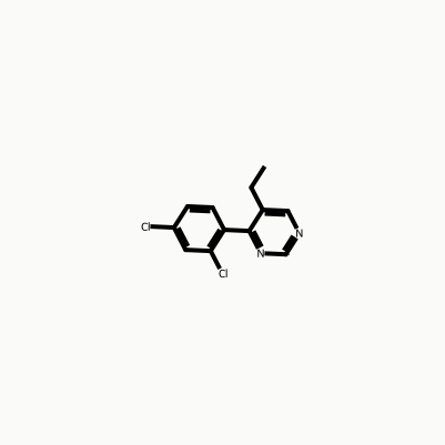 CCc1cn[c]nc1-c1ccc(Cl)cc1Cl